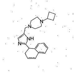 C1=Cc2ccccc2C(c2ncc(CN3CCN(C4CCC4)CC3)[nH]2)C1